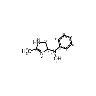 CC1=NC(N(O)c2ccccc2)CN1